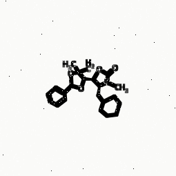 CN1C(=O)O[C@H](C2OC(c3ccccc3)OC2(C)C)[C@@H]1CC1CCCCC1